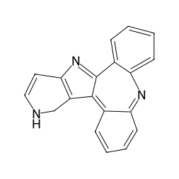 C1=Cc2nc3c4ccccc4nc4ccccc4c-3c2CN1